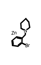 Brc1ccccc1CN1CCCCC1.[Zn]